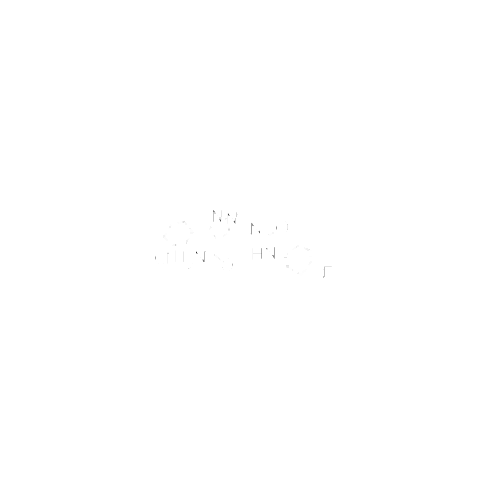 NC(=O)c1c(-c2cccc(Cl)c2)nn2c1CN(C(=O)Nc1ccc(F)cc1)CC2